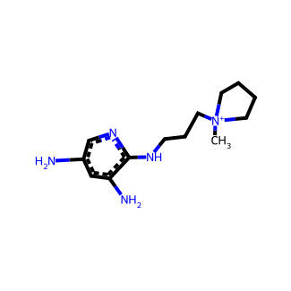 C[N+]1(CCCNc2ncc(N)cc2N)CCCC1